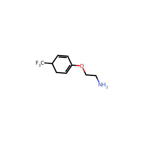 NCCOC1=CCC(C(F)(F)F)C=C1